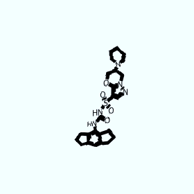 O=C(Nc1c2c(cc3c1CCC3)CCC2)NS(=O)(=O)c1cnn2c1OCC(N1CCCCC1)C2